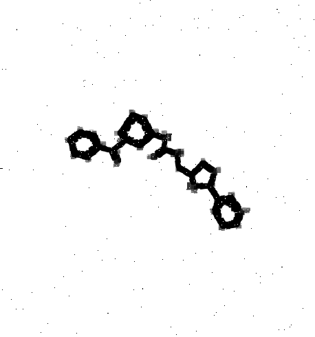 O=C(NCC1CSC(c2cccnc2)N1)Nc1cccc(C(=O)c2ccccc2)c1